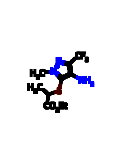 CCOC(=O)C(C)Sc1c(N)c(C(F)(F)F)nn1C